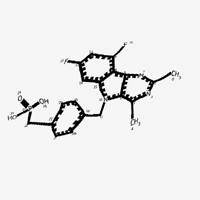 Cc1nc(C)c2c(n1)c1c(F)cc(F)cc1n2Cc1ccc(CP(=O)(O)O)cc1